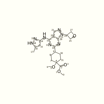 COC(=O)C1(OC)CCC(c2nc(Nc3cc(C)[nH]n3)c3cnn(C4COC4)c3n2)CC1